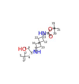 CC(C)(C)C[C@H](CO)NC1CC2(CC(NC(=O)OC(C)(C)C)C2)C1